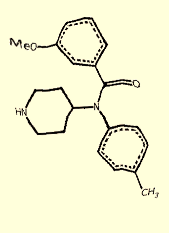 COc1cccc(C(=O)N(c2ccc(C)cc2)C2CCNCC2)c1